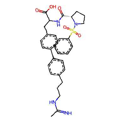 CC(=N)NCCCc1ccc(-c2ccc(CC(NC(=O)[C@@H]3CCCN3S(=O)(=O)c3ccccc3)C(=O)O)cc2)cc1